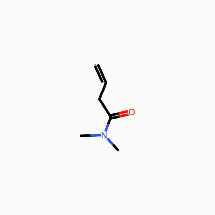 [CH]=CCC(=O)N(C)C